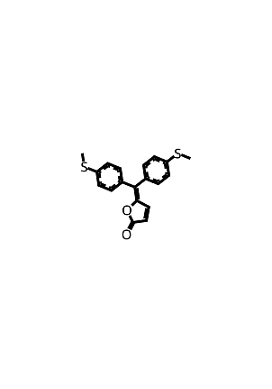 CSc1ccc(C(=C2C=CC(=O)O2)c2ccc(SC)cc2)cc1